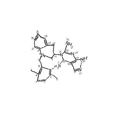 Cc1ccc(C)c(CN2CC(N3C(N)=Nc4[nH]ncc4C3N)Cc3ccccc32)c1